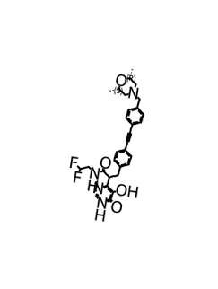 C[C@@H]1CN(Cc2ccc(C#Cc3ccc(CC(C(=O)NCC(F)F)c4nc[nH]c(=O)c4O)cc3)cc2)C[C@H](C)O1